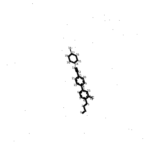 CCCCc1ccc(-c2ccc(C#C[C@H]3CC[C@H](C)CC3)cc2)cc1F